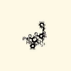 CC(C)OC(=O)C1=CN(C(=O)c2cc(F)c(F)c(OCCN3CCCCC3)c2)CC(C)(C)c2c1[nH]c1ccccc21